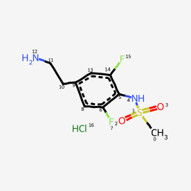 CS(=O)(=O)Nc1c(F)cc(CCN)cc1F.Cl